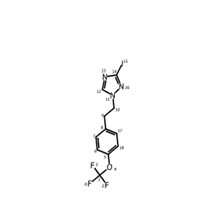 FC(F)(F)Oc1ccc(CCn2cnc(I)n2)cc1